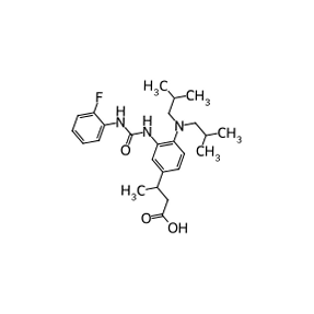 CC(C)CN(CC(C)C)c1ccc(C(C)CC(=O)O)cc1NC(=O)Nc1ccccc1F